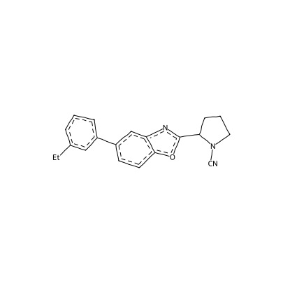 CCc1cccc(-c2ccc3oc(C4CCCN4C#N)nc3c2)c1